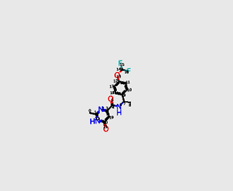 Cc1nc(C(=O)N[C@H](C)c2ccc(OC(F)F)cc2)cc(=O)[nH]1